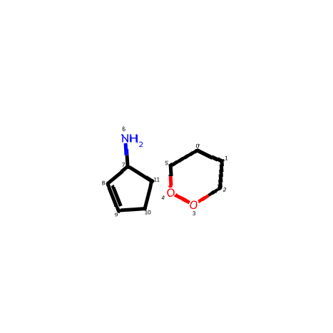 C1CCOOC1.NC1C=CCC1